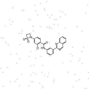 O=C(Nc1cccc(-c2ncc3ccccc3n2)c1)c1ccc(N2CCS2(=O)=O)cc1Cl